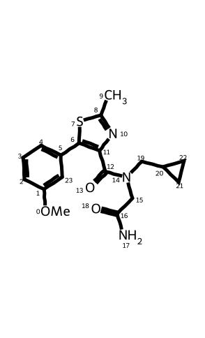 COc1cccc(-c2sc(C)nc2C(=O)N(CC(N)=O)CC2CC2)c1